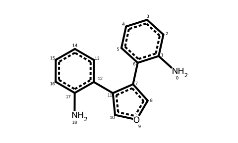 Nc1ccccc1-c1[c]occ1-c1ccccc1N